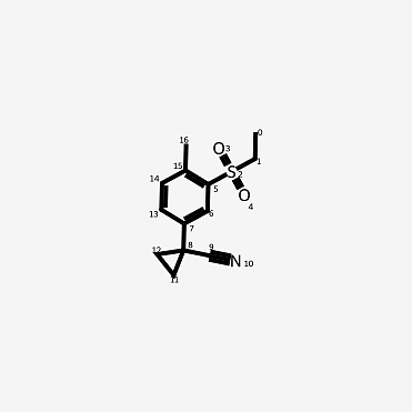 CCS(=O)(=O)c1cc(C2(C#N)CC2)ccc1C